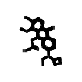 CCN(c1ccc2c(=O)c3ccc(Cl)c(SC)c3n(CC(=O)O)c2n1)C1COC1